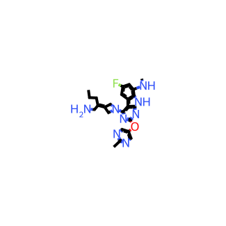 CCCC(CN)=C1CN(c2nc(Oc3cnc(C)nc3)nc3[nH]c4c(NC)cc(F)cc4c23)C1